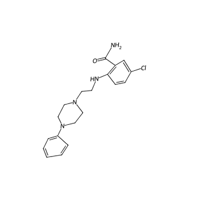 NC(=O)c1cc(Cl)ccc1NCCN1CCN(c2ccccc2)CC1